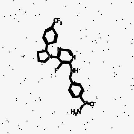 N[S+]([O-])c1ccc(CNc2ncnc(N3CCCC3c3ccc(C(F)(F)F)cc3)c2F)cc1